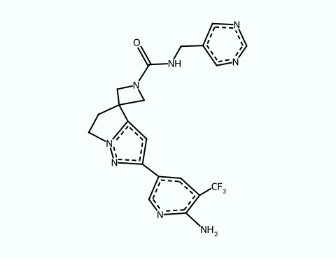 Nc1ncc(-c2cc3n(n2)CCC32CN(C(=O)NCc3cncnc3)C2)cc1C(F)(F)F